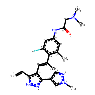 C=Cc1[nH]nc(-c2cnn(C)c2)c1/C=C(\C)c1c(C)cc(NC(=O)CN(C)C)cc1F